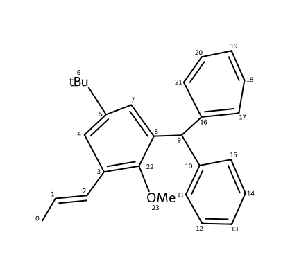 CC=Cc1cc(C(C)(C)C)cc(C(c2ccccc2)c2ccccc2)c1OC